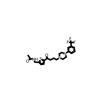 CC(=O)NCc1ccc(C(=O)CCCN2CCN(c3cccc(C(F)(F)F)c3)CC2)s1